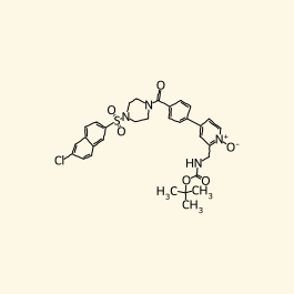 CC(C)(C)OC(=O)NCc1cc(-c2ccc(C(=O)N3CCN(S(=O)(=O)c4ccc5cc(Cl)ccc5c4)CC3)cc2)cc[n+]1[O-]